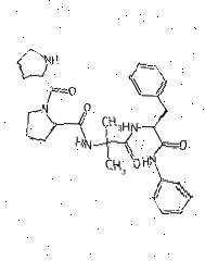 CC(C)(NC(=O)C1CCCN1C(=O)[C@@H]1CCCN1)C(=O)N[C@@H](Cc1ccccc1)C(=O)Nc1ccccc1